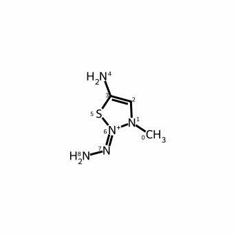 CN1C=C(N)S[N+]1=NN